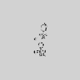 C[N+](C)(C)c1ccc(C=NS(=O)(=O)c2ccccc2)cc1.[Cl-]